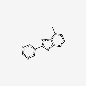 Cc1cccc2nc(-c3cncnc3)[nH]c12